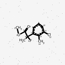 COC(=O)C(C)(F)c1cccc(Cl)c1C